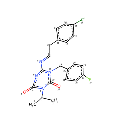 CC(C)n1c(=O)nc(/N=C/Cc2ccc(Cl)cc2)n(Cc2ccc(F)cc2)c1=O